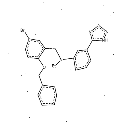 CCN(Cc1cc(Br)ccc1OCc1ccccc1)c1cccc(-c2nnn[nH]2)c1